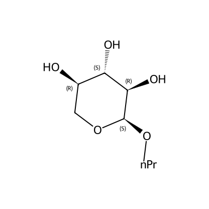 CCCO[C@H]1OC[C@@H](O)[C@H](O)[C@H]1O